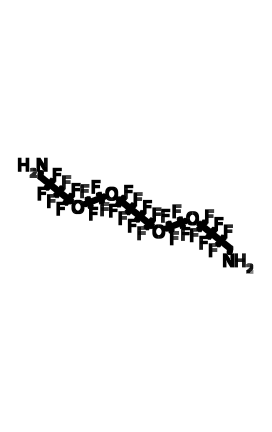 NCC(F)(F)C(F)(F)C(F)(F)OC(F)(F)C(F)(F)OC(F)(F)C(F)(F)C(F)(F)C(F)(F)OC(F)(F)C(F)(F)OC(F)(F)C(F)(F)C(F)(F)CN